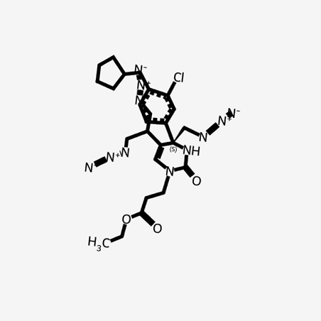 CCOC(=O)CCN1C=C(C(CN=[N+]=[N-])CN=[N+]=[N-])[C@](CN=[N+]=[N-])(c2ccc(CC3CCCC3)c(Cl)c2)NC1=O